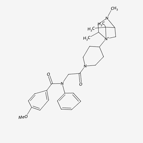 COc1ccc(C(=O)N(CC(=O)N2CCC([N+]34CC(N(C)CC3C)C4(C)C)CC2)c2ccccc2)cc1